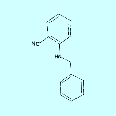 N#Cc1ccc[c]c1NCc1ccccc1